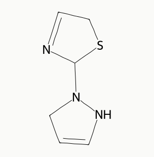 C1=CNN(C2N=CCS2)C1